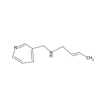 [CH2]/C=C/CNCc1cccnc1